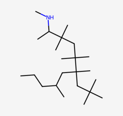 CCCC(C)CC(C)(CC(C)(C)C)C(C)(C)CC(C)(C)C(C)NC